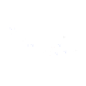 Cc1cc(C)nc(NS(=O)(=O)c2ccc(NCc3ccc(C(N)=O)cc3)cc2)n1